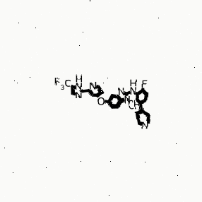 Cn1c(Nc2cc(-c3ccncc3)ccc2F)nc2cc(Oc3ccnc(-c4ncc(C(F)(F)F)[nH]4)c3)ccc21